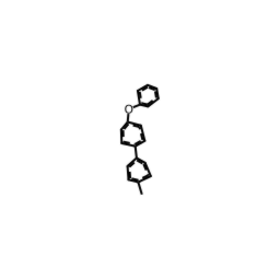 Cc1ccc(-c2ccc(Oc3ccccc3)cc2)cc1